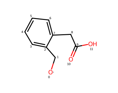 [O]Cc1ccccc1CC(=O)O